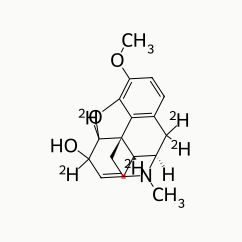 [2H]C1([2H])c2ccc(OC)c3c2[C@]24CCN(C)[C@H]1[C@]2([2H])C=CC([2H])(O)C4([2H])O3